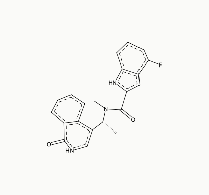 C[C@H](c1c[nH]c(=O)c2ccccc12)N(C)C(=O)c1cc2c(F)cccc2[nH]1